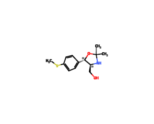 CSc1ccc([C@@H]2OC(C)(C)N[C@H]2CO)cc1